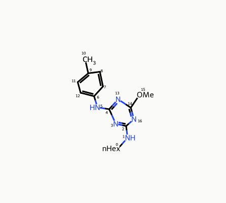 CCCCCCNc1nc(Nc2ccc(C)cc2)nc(OC)n1